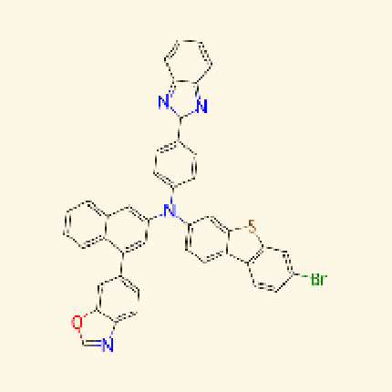 Brc1ccc2c(c1)sc1cc(N(c3ccc(C4N=c5ccccc5=N4)cc3)c3cc(-c4ccc5ncoc5c4)c4ccccc4c3)ccc12